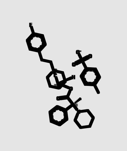 C[C@@](C(=O)O[C@H]1C[N+]2(CCc3ccc(F)cc3)CCC1CC2)(c1ccccc1)N1CCCCC1.Cc1ccc(S(=O)(=O)[O-])cc1